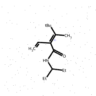 C=C/C(C(=O)NC(CC)CC)=C(/C)C(C)(C)C